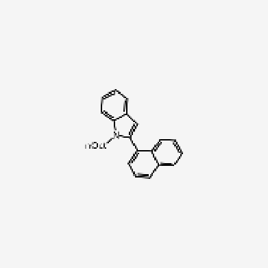 CCCCCCCCn1c(-c2cccc3ccccc23)cc2ccccc21